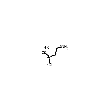 NCCN(Cl)Cl.[Pd]